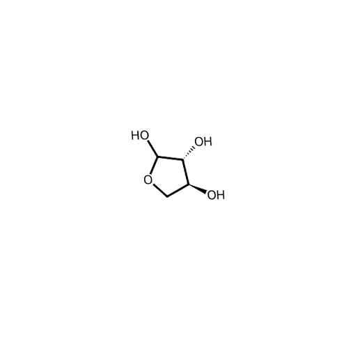 OC1OC[C@H](O)[C@H]1O